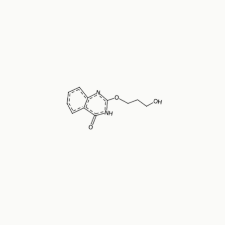 O=c1[nH]c(OCCCO)nc2ccccc12